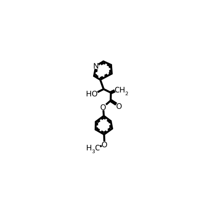 C=C(C(=O)Oc1ccc(OC)cc1)C(O)c1cccnc1